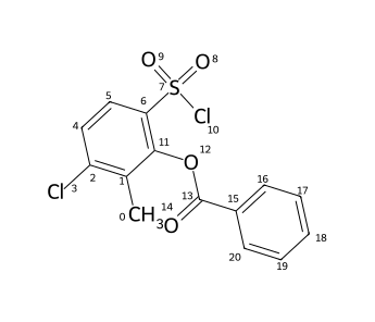 Cc1c(Cl)ccc(S(=O)(=O)Cl)c1OC(=O)c1ccccc1